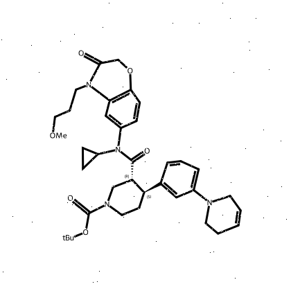 COCCCN1C(=O)COc2ccc(N(C(=O)[C@H]3CN(C(=O)OC(C)(C)C)CC[C@@H]3c3cccc(N4CC=CCC4)c3)C3CC3)cc21